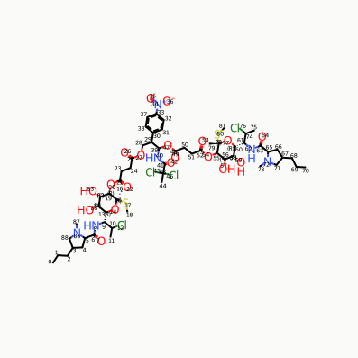 CCCC1CC(C(=O)NC(C(C)Cl)[C@H]2O[C@](C)(SC)[C@H](OC(=O)CCC(=O)OCC(c3ccc([N+](=O)[O-])cc3)C(NC(=O)C(C)(Cl)Cl)OC(=O)CCC(=O)OC3[C@@H](O)[C@@H](O)[C@@H](C(NC(=O)C4CC(CCC)CN4C)C(C)Cl)O[C@@]3(C)SC)[C@@H](O)[C@H]2O)N(C)C1